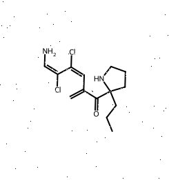 C=C(/C=C(Cl)\C(Cl)=C/N)C(=O)C1(CCC)CCCN1